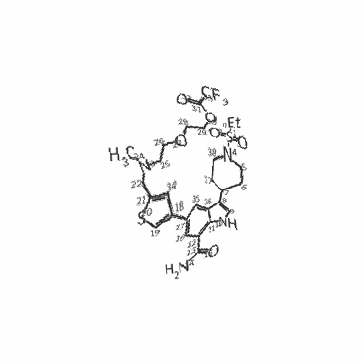 CCS(=O)(=O)N1CCC(c2c[nH]c3c(C(N)=O)cc(-c4csc(CN(C)CCOCCOC(=O)C(F)(F)F)c4)cc23)CC1